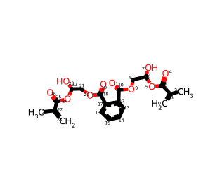 C=C(C)C(=O)OC(O)COC(=O)c1ccccc1C(=O)OCC(O)OC(=O)C(=C)C